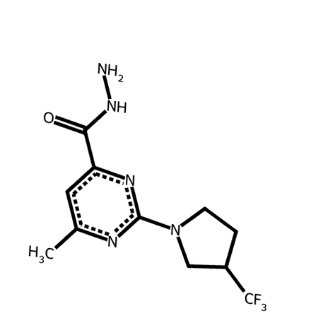 Cc1cc(C(=O)NN)nc(N2CCC(C(F)(F)F)C2)n1